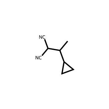 CC(C(C#N)C#N)C1CC1